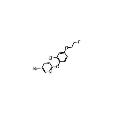 FCCOc1ccc(Oc2ccc(Br)cn2)c(Cl)c1